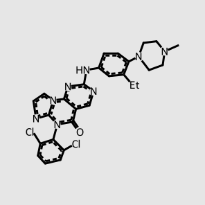 CCc1cc(Nc2ncc3c(=O)n(-c4c(Cl)cccc4Cl)c4nccn4c3n2)ccc1N1CCN(C)CC1